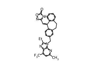 CCc1nc2c(C(F)(F)F)cc(C)nc2n1Cc1ccc2c(c1)CCc1ccccc1/C2=C\c1noc(=O)[nH]1